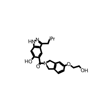 CC(C)Cc1n[nH]c2cc(O)c(C(=O)N3Cc4ccc(OCCO)cc4C3)cc12